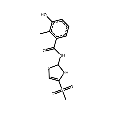 Cc1c(O)cccc1C(=O)NC1NC(S(C)(=O)=O)=CS1